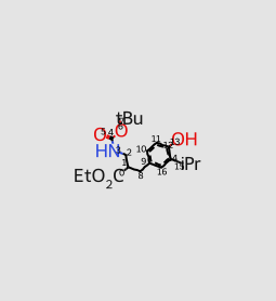 CCOC(=O)C(CNC(=O)OC(C)(C)C)Cc1ccc(O)c(C(C)C)c1